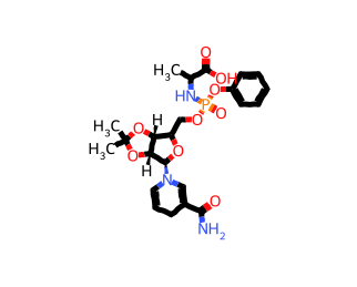 CC(NP(=O)(OCC1O[C@@H](N2C=CCC(C(N)=O)=C2)[C@@H]2OC(C)(C)O[C@H]12)Oc1ccccc1)C(=O)O